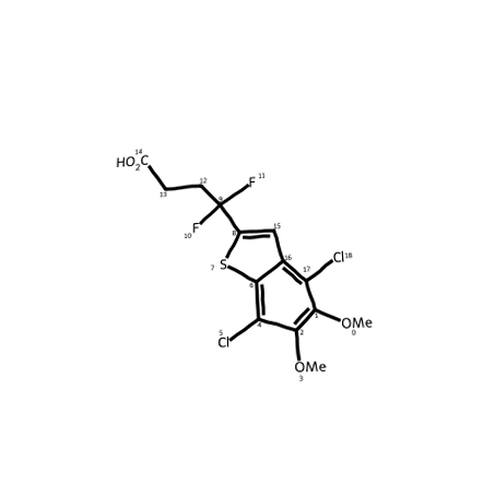 COc1c(OC)c(Cl)c2sc(C(F)(F)CCC(=O)O)cc2c1Cl